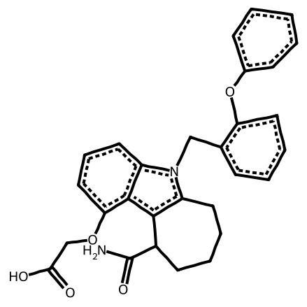 NC(=O)C1CCCCc2c1c1c(OCC(=O)O)cccc1n2Cc1ccccc1Oc1ccccc1